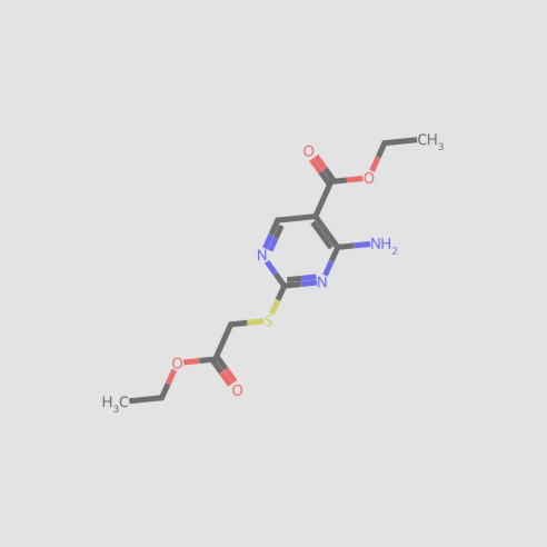 CCOC(=O)CSc1ncc(C(=O)OCC)c(N)n1